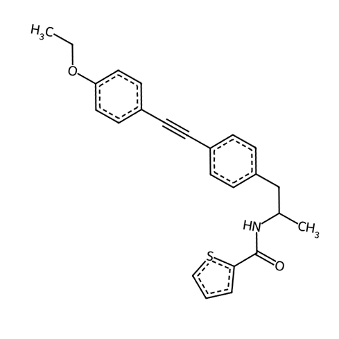 CCOc1ccc(C#Cc2ccc(CC(C)NC(=O)c3cccs3)cc2)cc1